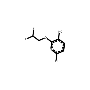 [C-]#[N+]c1ccc(Cl)nc1OCC(F)F